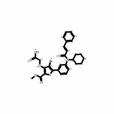 COC(=O)c1sc(-c2cccc(N(C(=O)/C=C/c3ccccc3)C3CCCCC3)c2)c(Br)c1OCC(=O)O